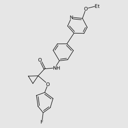 CCOc1ccc(-c2ccc(NC(=O)C3(Oc4ccc(F)cc4)CC3)cc2)cn1